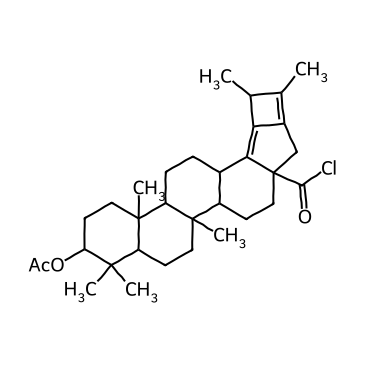 CC(=O)OC1CCC2(C)C(CCC3(C)C4CCC5(C(=O)Cl)CC6=C(C)C(C)C6=C5C4CCC32)C1(C)C